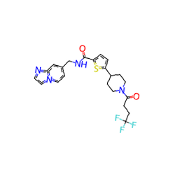 O=C(NCc1ccn2ccnc2c1)c1ccc(C2CCN(C(=O)CCC(F)(F)F)CC2)s1